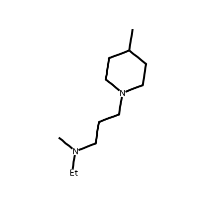 CCN(C)CCCN1CCC(C)CC1